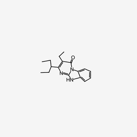 CCc1c(C(CC)CC)nc2[nH]c3ccccc3n2c1=O